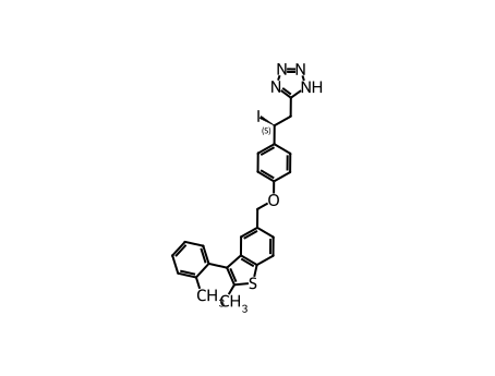 Cc1ccccc1-c1c(C)sc2ccc(COc3ccc([C@@H](I)Cc4nnn[nH]4)cc3)cc12